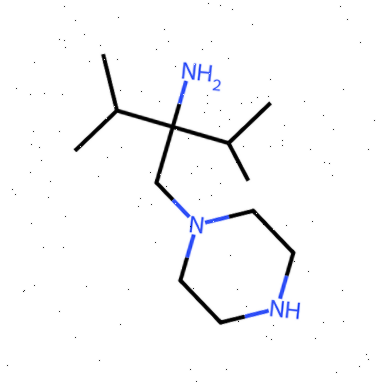 CC(C)C(N)(CN1CCNCC1)C(C)C